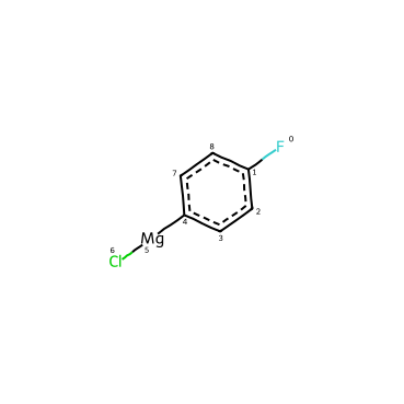 Fc1cc[c]([Mg][Cl])cc1